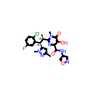 Cc1cc([C@@H](c2cc(F)ccc2Cl)[C@@H](C)c2nc(C(=O)Nc3cnoc3)c(O)c(=O)n2C)n(C)n1